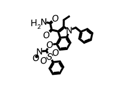 CCc1c(C(=O)C(N)=O)c2c(OC(N=O)S(=O)(=O)c3ccccc3)cccc2n1Cc1ccccc1